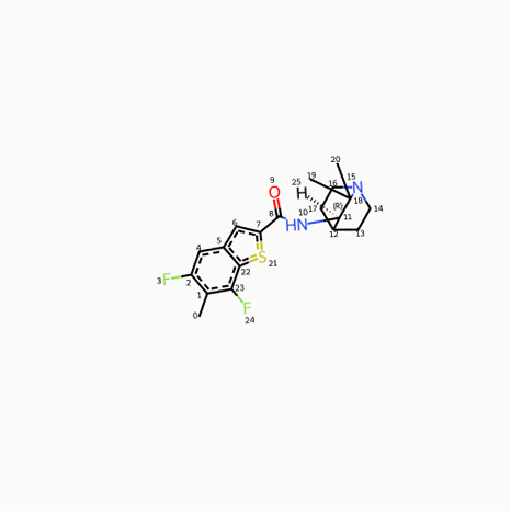 Cc1c(F)cc2cc(C(=O)N[C@@H]3C4CCN(CC4)C3(C)C)sc2c1F